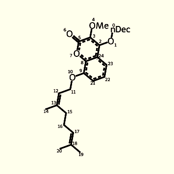 CCCCCCCCCCOc1c(OC)c(=O)oc2c(OCC=C(C)CCC=C(C)C)cccc12